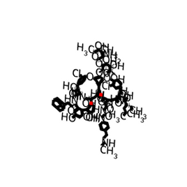 CCNCCc1ccc(NC(=O)NC(=O)C[C@@H]2CC(=O)[C@H](NC(=O)[C@H](CC)CC(C)C)[C@H](O)c3ccc(c(Cl)c3)Oc3cc4cc(c3O[C@@H]3O[C@H](CO)[C@@H](O)[C@H](O)[C@H]3O[C@H]3C[C@](C)(N)[C@H](O)[C@H](C)O3)Oc3ccc(cc3Cl)[C@@H](O)[C@@H]3NC(=O)[C@H](CC(=O)[C@@H]4NC2=O)c2ccc(O)c(c2)-c2c(O)cc(O)cc2[C@@H](C(=O)CC2C4CC5CC(C4)CC2C5)NC3=O)cc1